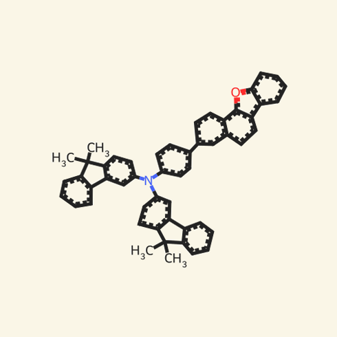 CC1(C)c2ccccc2-c2cc(N(c3ccc(-c4ccc5c(ccc6c7ccccc7oc56)c4)cc3)c3ccc4c(c3)-c3ccccc3C4(C)C)ccc21